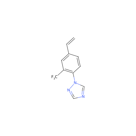 C=Cc1ccc(-n2cncn2)c(C(F)(F)F)c1